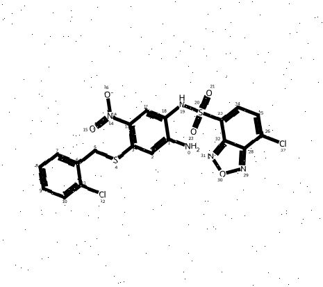 Nc1cc(SCc2ccccc2Cl)c([N+](=O)[O-])cc1NS(=O)(=O)c1ccc(Cl)c2nonc12